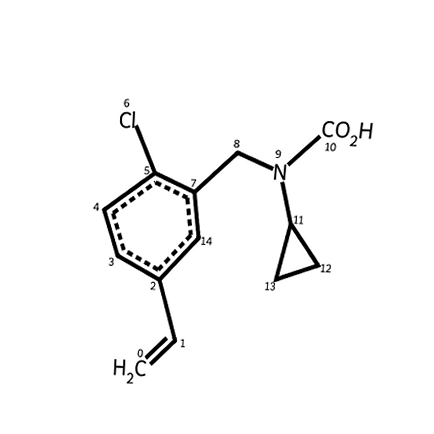 C=Cc1ccc(Cl)c(CN(C(=O)O)C2CC2)c1